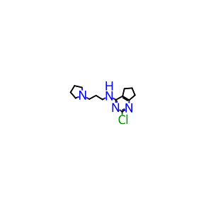 Clc1nc2c(c(NCCCN3CCCC3)n1)CCC2